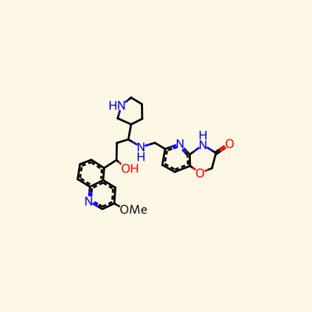 COc1cnc2cccc(C(O)CC(NCc3ccc4c(n3)NC(=O)CO4)C3CCCNC3)c2c1